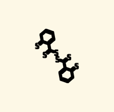 S=C1CC=CC=C1C(=S)SSC(=S)C1=CC=CCC1=S